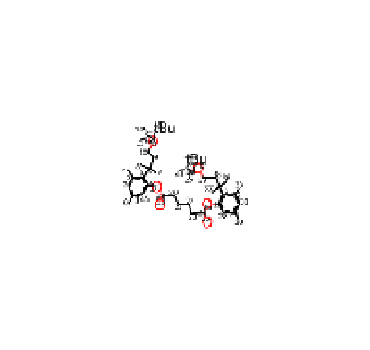 Cc1cc(C)c(C(C)(C)CCO[Si](C)(C)C(C)(C)C)c(OC(=O)CCCCC(=O)Oc2cc(C)cc(C)c2C(C)(C)CCO[Si](C)(C)C(C)(C)C)c1